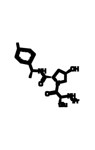 Cc1ccc([C@H](C)NC(=O)[C@@H]2C[C@@H](O)CN2C(=O)[C@@H](NC(C)C)C(C)(C)C)cc1